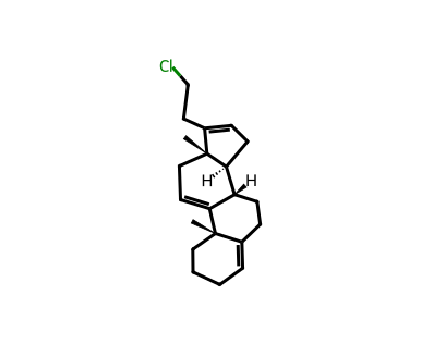 C[C@]12CCCC=C1CC[C@@H]1C2=CC[C@]2(C)C(CCCl)=CC[C@@H]12